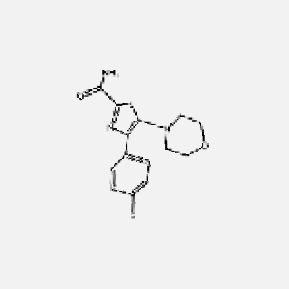 NC(=O)c1nc(-c2ccc(F)cc2)c(N2CCOCC2)s1